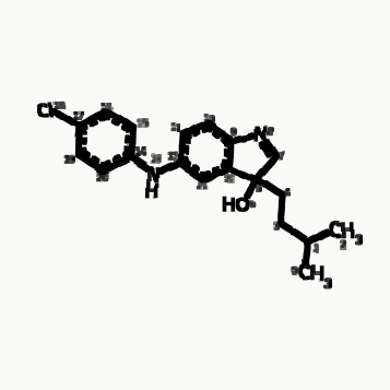 CC(C)CCC1(O)C=Nc2ccc(Nc3ccc(Cl)cc3)cc21